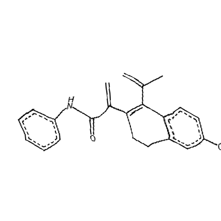 C=C(C)C1=C(C(=C)C(=O)Nc2ccccc2)CCc2cc(O)ccc21